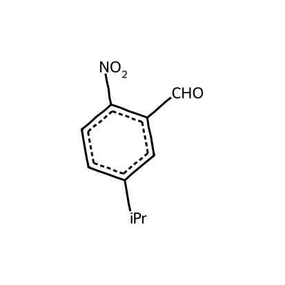 CC(C)c1ccc([N+](=O)[O-])c(C=O)c1